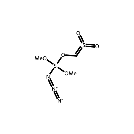 CO[Si](N=[N+]=[N-])(OC)OC=S(=O)=O